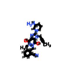 CC#CCn1c(N2CCCC(N)C2)nc2c(=O)n(C)n(Cc3ccccc3C#N)c(=O)c21